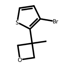 CC1(c2sccc2Br)COC1